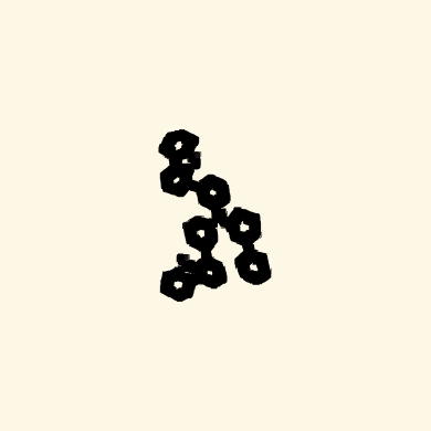 c1ccc(-c2cccc(N(c3cccc(-c4cccc5c4sc4ccccc45)c3)c3cccc(-c4cccc5c4sc4ccccc45)c3)c2)cc1